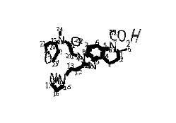 C[C@H]1CCc2c(ccc3c2nc(CCn2cccn2)n3CC(=O)N(C)C2CCOCC2)N1C(=O)O